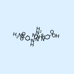 Nc1nc(Nc2ccc(S(N)(=O)=O)cc2)nn1-c1nc2ccc(C(=O)O)cc2s1